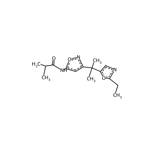 CCc1ncc(C(C)(C)c2cc(NC(=O)C(C)C)on2)o1